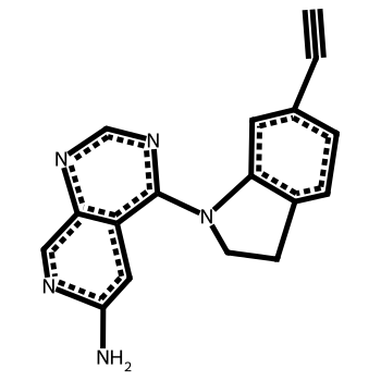 C#Cc1ccc2c(c1)N(c1ncnc3cnc(N)cc13)CC2